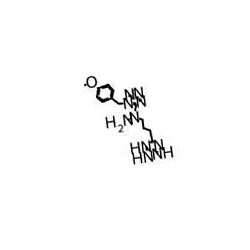 COc1ccc(Cn2nnnc2N(N)CCCC2=NNNN2)cc1